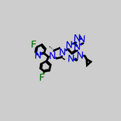 C[C@@H]1CN(c2nc3nncn3c3c2ncn3CC2CC2)[C@@H](C)CN1[C@H](c1ccc(F)cc1)c1ccc(F)cn1